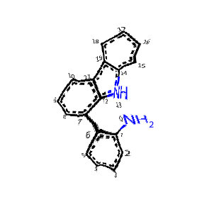 Nc1ccccc1-c1cccc2c1[nH]c1ccccc12